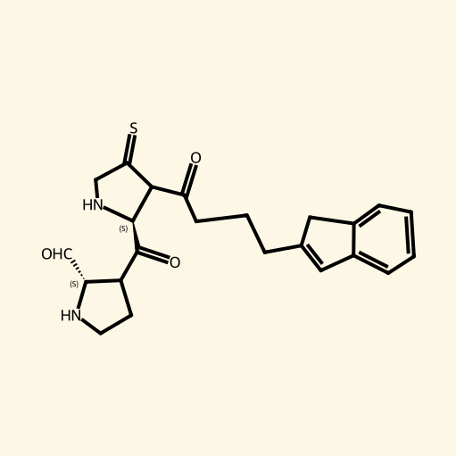 O=C[C@H]1NCCC1C(=O)[C@H]1NCC(=S)C1C(=O)CCCC1=Cc2ccccc2C1